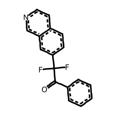 O=C(c1ccccc1)C(F)(F)c1ccc2ccncc2c1